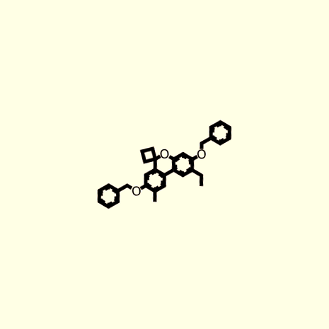 CCc1cc2c(cc1OCc1ccccc1)OC1(CCC1)c1cc(OCc3ccccc3)c(C)cc1-2